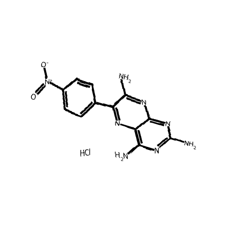 Cl.Nc1nc(N)c2nc(-c3ccc([N+](=O)[O-])cc3)c(N)nc2n1